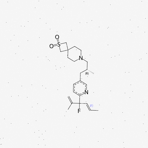 C=C(C)C(F)(/C=C/C)c1ccc(C[C@@H](C)CN2CCC3(CC2)CS(=O)(=O)C3)cn1